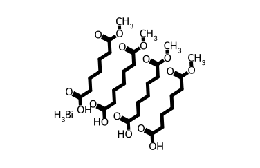 COC(=O)CCCCCC(=O)O.COC(=O)CCCCCC(=O)O.COC(=O)CCCCCC(=O)O.COC(=O)CCCCCC(=O)O.[BiH3]